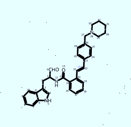 O=CC(Cc1c[nH]c2ccccc12)NC(=O)c1ccccc1/C=C/c1ccc(CN2CCCCC2)cc1